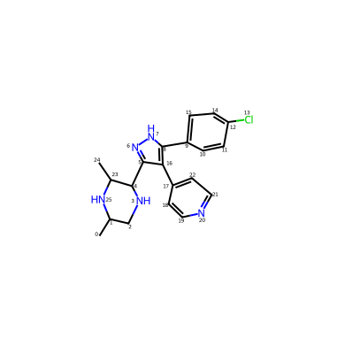 CC1CNC(c2n[nH]c(-c3ccc(Cl)cc3)c2-c2ccncc2)C(C)N1